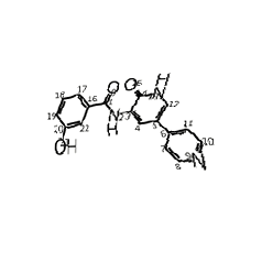 O=C(Nc1cc(-c2ccncc2)c[nH]c1=O)c1cccc(O)c1